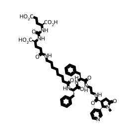 CN1C(=O)C[C@H](C(=O)NCCNC(=O)[C@H](Cc2ccccc2)NC(=O)[C@H](Cc2ccccc2)NC(=O)CCCCCCCNC(=O)CC[C@H](NC(=O)N[C@@H](CCC(=O)O)C(=O)O)C(=O)O)[C@H]1c1cccnc1